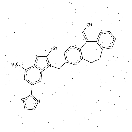 CCCc1nc2c(C)cc(-c3ncco3)cc2n1Cc1ccc2c(c1)CCc1ccccc1C2=CC#N